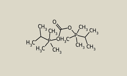 CC(C)P(C)(C)(C)OC(=O)OP(C)(C)(C)C(C)C